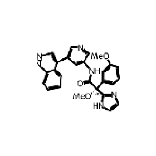 COc1cccc([C@](OC)(C(=O)Nc2cncc(-c3cnnc4ccccc34)c2)c2ncc[nH]2)c1